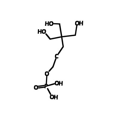 O=P(O)(O)OCCCC(CO)(CO)CO